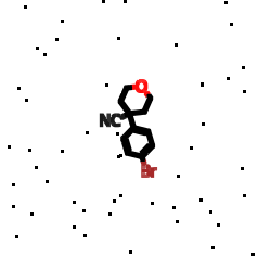 N#CC1(c2ccc(Br)cc2)CCOCC1